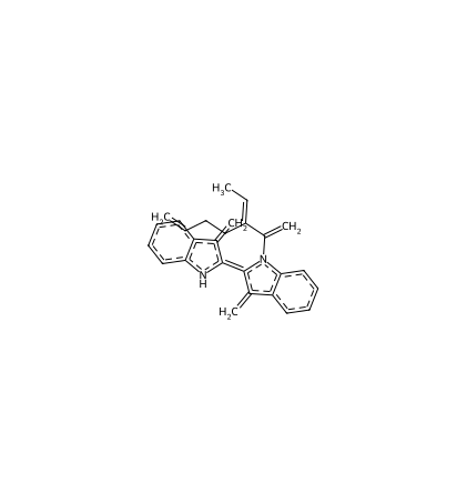 C=CCC/C(=C\C)C(=C)n1/c(=c2/[nH]c3ccccc3c2=C)c(=C)c2ccccc21